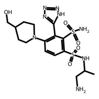 CC(CN)NS(=O)(=O)c1ccc(N2CCC(CO)CC2)c(-c2nnn[nH]2)c1S(N)(=O)=O